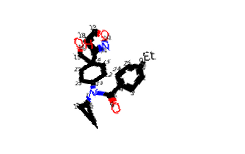 CCc1ccc(C(=O)N(C2CC2)C2CCC(CO)(c3ccon3)CC2)cc1